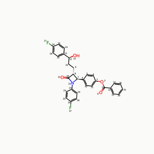 O=C(Oc1ccc([C@@H]2[C@@H](CC[C@H](O)c3ccc(F)cc3)C(=O)N2c2ccc(F)cc2)cc1)c1ccccc1